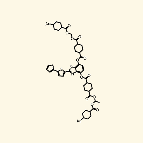 CC(=O)C1CCC(C(=O)OCOC(=O)C2CCC(C(=O)Oc3ccc(OC(=O)C4CCC(C(=O)OC(C)OC(=O)C5CCC(C(C)=O)CC5)CC4)c4nc(-c5ccc(-c6cccs6)s5)sc34)CC2)CC1